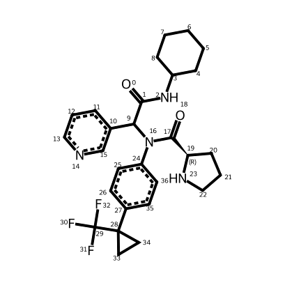 O=C(NC1CCCCC1)C(c1cccnc1)N(C(=O)[C@H]1CCCN1)c1ccc(C2(C(F)(F)F)CC2)cc1